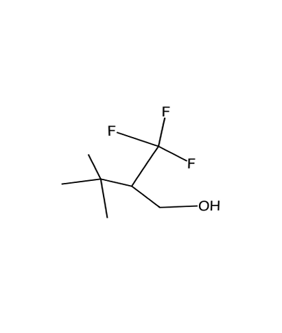 CC(C)(C)C(CO)C(F)(F)F